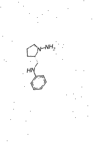 NN1CCC[C@H]1CNc1ccccc1